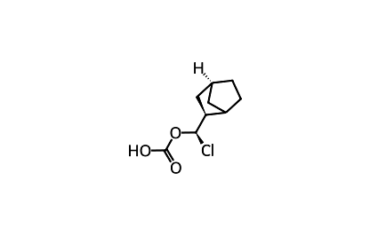 O=C(O)O[C@H](Cl)[C@H]1C[C@H]2CCC1C2